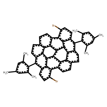 Cc1cc(C)c(-c2c3ccc(Br)c4c5ccc6ccc7c(-c8c(C)cc(C)cc8C)c8ccc(Br)c9c%10ccc%11ccc2c2c%11c%10c%10c(c89)c7c6c5c%10c2c34)c(C)c1